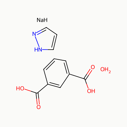 O.O=C(O)c1cccc(C(=O)O)c1.[NaH].c1cn[nH]c1